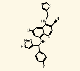 N#Cc1cnc2c(N[C@@H](c3ccc(F)cc3)c3c[nH]nn3)cc(Cl)cc2c1NCc1cccs1